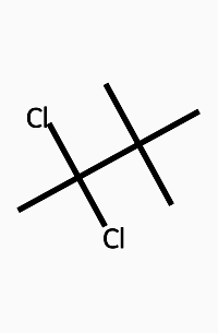 CC(C)(C)C(C)(Cl)Cl